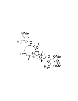 CCOC1C(OC)C(C)OC(O[C@@H]2C[C@H]3CC[C@@H]4[C@@H](C=C5C(=O)[C@H](C)[C@@H](OC6CCC(CNC)C(C)O6)CCC[C@H](CC)OC(=O)C[C@H]54)[C@@H]3C2)C1OC